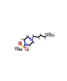 CC(C)(C)CCCCN1CCN(S(=O)(=O)C(C)(C)C)CC1